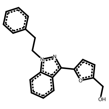 OCc1ccc(-c2nn(CCc3ccccc3)c3ccccc23)o1